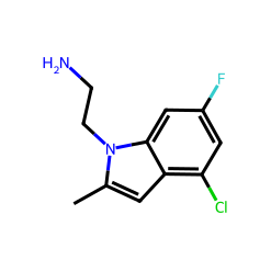 Cc1cc2c(Cl)cc(F)cc2n1CCN